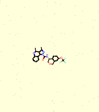 Cc1nc2ccccc2c2c1c(C)nn2C(=O)N[C@H]1COCc2cc(OC(F)(F)F)ccc21